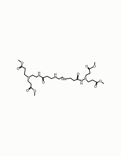 COC(=O)CCN(CCNC(=O)CCNCCNCCC(=O)NN(CCC(=O)OC)CCC(=O)OC)CCC(=O)OC